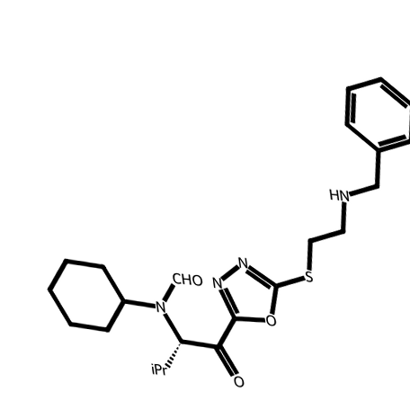 CC(C)[C@@H](C(=O)c1nnc(SCCNCc2ccccc2)o1)N(C=O)C1CCCCC1